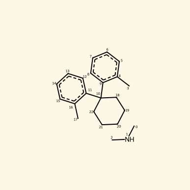 CNC.Cc1ccccc1C1(c2ccccc2C)CCCCC1